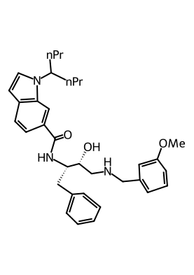 CCCC(CCC)n1ccc2ccc(C(=O)N[C@@H](Cc3ccccc3)[C@H](O)CNCc3cccc(OC)c3)cc21